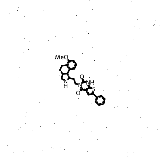 COc1cccc2c1CCC1CNC(CCn3c(=O)[nH]c4sc(-c5ccccc5)cc4c3=O)C21